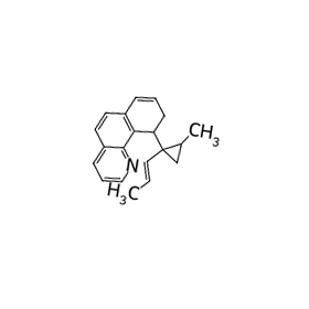 CC=CC1(C2CC=Cc3ccc4cccnc4c32)CC1C